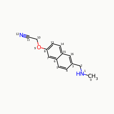 CNCc1ccc2cc(OCC#N)ccc2c1